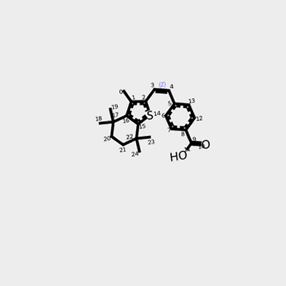 Cc1c(/C=C\c2ccc(C(=O)O)cc2)sc2c1C(C)(C)CCC2(C)C